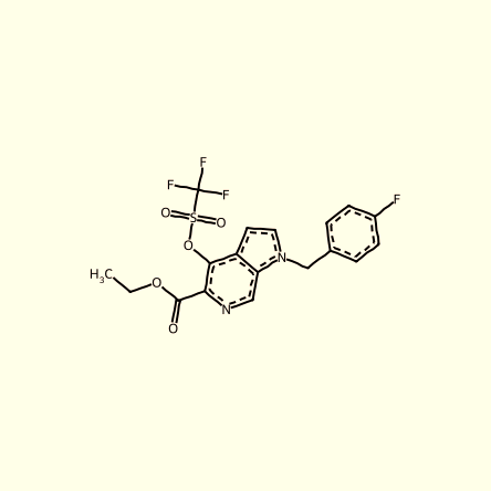 CCOC(=O)c1ncc2c(ccn2Cc2ccc(F)cc2)c1OS(=O)(=O)C(F)(F)F